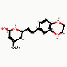 COC1=CC(O)OC(/C=C/c2ccc3c(c2)OCCO3)C1